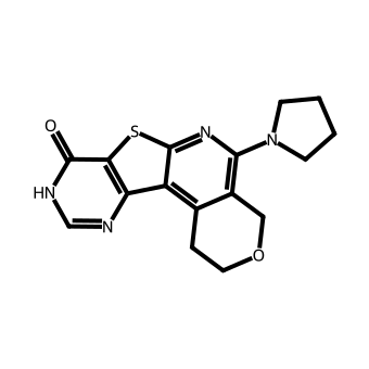 O=c1[nH]cnc2c1sc1nc(N3CCCC3)c3c(c12)CCOC3